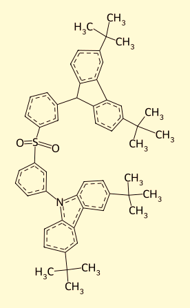 CC(C)(C)c1ccc2c(c1)-c1cc(C(C)(C)C)ccc1C2c1cccc(S(=O)(=O)c2cccc(-n3c4ccc(C(C)(C)C)cc4c4cc(C(C)(C)C)ccc43)c2)c1